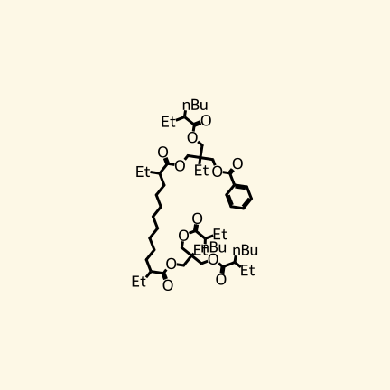 CCCCC(CC)C(=O)OCC(CC)(COC(=O)c1ccccc1)COC(=O)C(CC)CCCCCCCCC(CC)C(=O)OCC(CC)(COC(=O)C(CC)CCCC)COC(=O)C(CC)CCCC